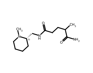 CC(C[CH]C(=O)NC[C@@H]1CCCCN1C)C(N)=O